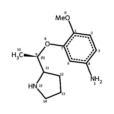 COc1ccc(N)cc1O[C@H](C)C1CCCN1